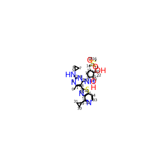 Cc1nc(NC2CC2)nc(N[C@@H]2C[C@H](CS(C)(=O)=O)[C@@H](O)[C@@]2(C)O)c1-c1nc2c(C3CC3)nccc2s1